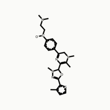 CC1=C(C2OC(c3sccc3C)=NN2C)N=C(c2ccc([S+]([O-])CCN(C)C)cc2)CN1C